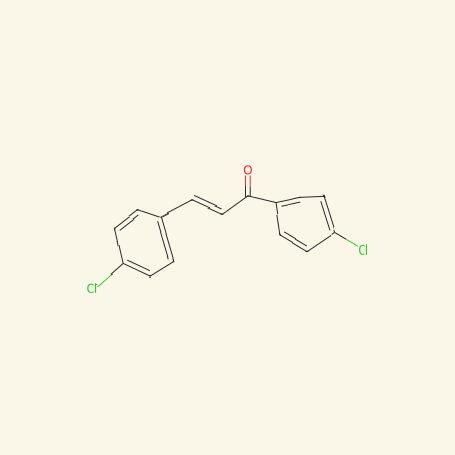 O=C(C=Cc1ccc(Cl)cc1)c1ccc(Cl)cc1